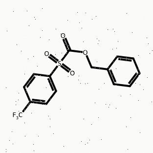 O=C(OCc1ccccc1)S(=O)(=O)c1ccc(C(F)(F)F)cc1